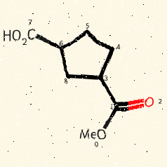 COC(=O)C1CCC(C(=O)O)C1